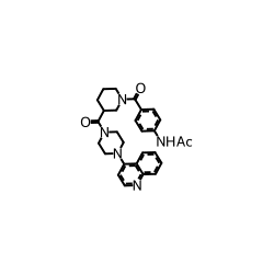 CC(=O)Nc1ccc(C(=O)N2CCCC(C(=O)N3CCN(c4ccnc5ccccc45)CC3)C2)cc1